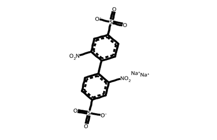 O=[N+]([O-])c1cc(S(=O)(=O)[O-])ccc1-c1ccc(S(=O)(=O)[O-])cc1[N+](=O)[O-].[Na+].[Na+]